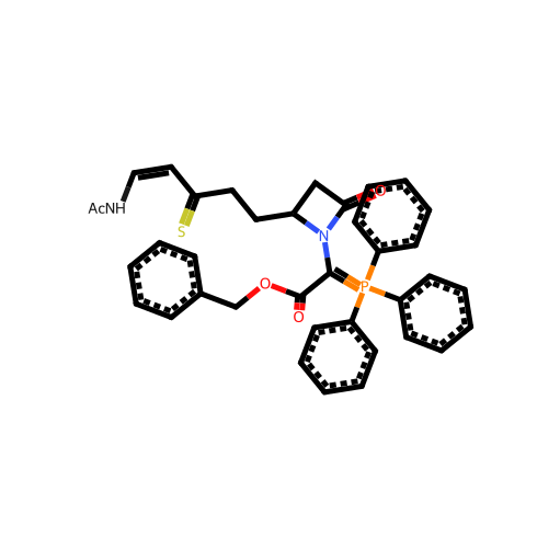 CC(=O)N/C=C\C(=S)CCC1CC(=O)N1C(C(=O)OCc1ccccc1)=P(c1ccccc1)(c1ccccc1)c1ccccc1